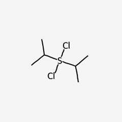 CC(C)S(Cl)(Cl)C(C)C